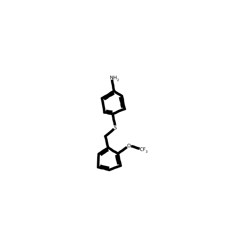 Nc1ccc(SCc2ccccc2OC(F)(F)F)cc1